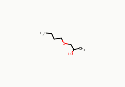 CCCCOC[C](C)O